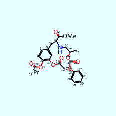 COC(=O)[C@H](Cc1ccc(OC(=O)C(C)C)c(OC(=O)C(C)C)c1)NCC(C)OC(=O)Oc1ccccc1